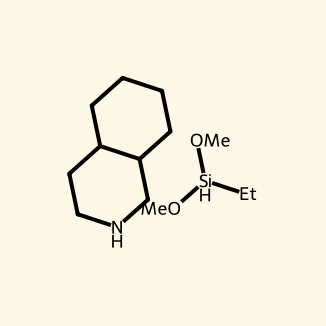 C1CCC2CNCCC2C1.CC[SiH](OC)OC